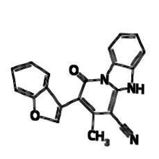 Cc1c(-c2coc3ccccc23)c(=O)n2c([nH]c3ccccc32)c1C#N